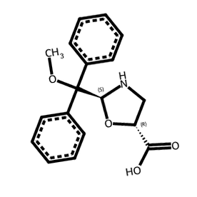 COC(c1ccccc1)(c1ccccc1)[C@H]1NC[C@H](C(=O)O)O1